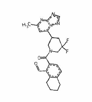 Cc1cc(C2CN(C(=O)c3ccc4c(c3C=O)CCCC4)CC(F)(F)C2)n2ncnc2n1